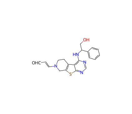 O=CC=CN1CCc2c(sc3ncnc(NC(CO)c4ccccc4)c23)C1